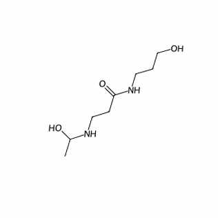 CC(O)NCCC(=O)NCCCO